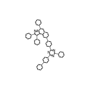 c1ccc(-c2ccc(-c3nc(-c4ccccc4)nc(-c4ccc(-c5ccc6cc(-c7ccccc7)n7nc(-c8ccccc8)c(-c8ccccc8)c7c6c5)cc4)n3)cc2)cc1